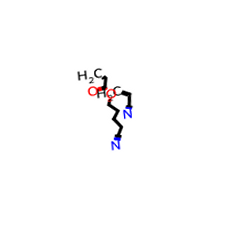 C=CC#N.C=CC(=O)OCCCCC#N